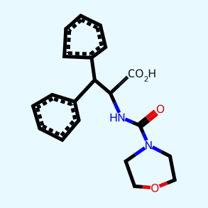 O=C(O)C(NC(=O)N1CCOCC1)C(c1ccccc1)c1ccccc1